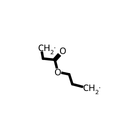 [CH2]CCOC(=O)C[CH2]